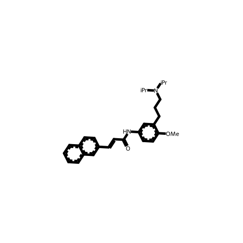 COc1ccc(NC(=O)/C=C/c2ccc3ccccc3c2)cc1CCCN(C(C)C)C(C)C